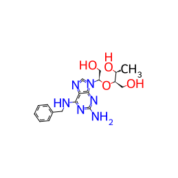 C[C@H](O)[C@@H](CO)O[C@H](CO)n1cnc2c(NCc3ccccc3)nc(N)nc21